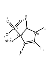 CCCCCC[N+]1(S(=O)(=O)[O-])C(F)=C(F)N(C)C1F